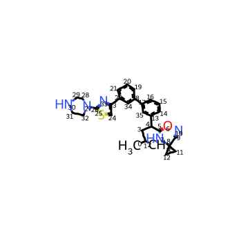 CC(C)CC(C(=O)NC1(C#N)CC1)c1cccc(-c2cccc(-c3csc(N4CCNCC4)n3)c2)c1